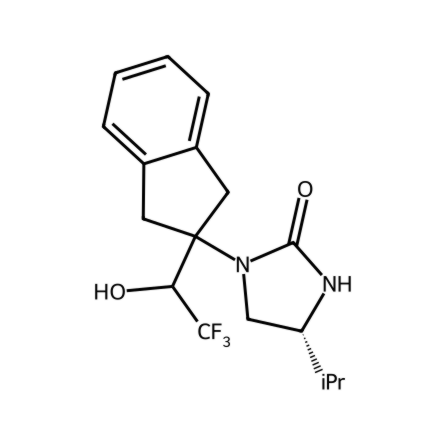 CC(C)[C@@H]1CN(C2(C(O)C(F)(F)F)Cc3ccccc3C2)C(=O)N1